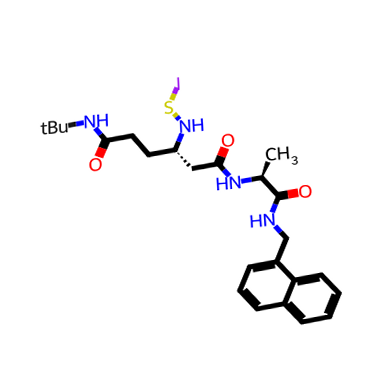 C[C@H](NC(=O)C[C@H](CCC(=O)NC(C)(C)C)NSI)C(=O)NCc1cccc2ccccc12